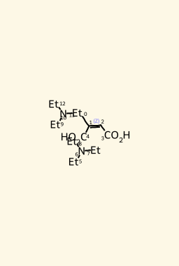 C/C(=C/C(=O)O)C(=O)O.CCN(CC)CC.CCN(CC)CC